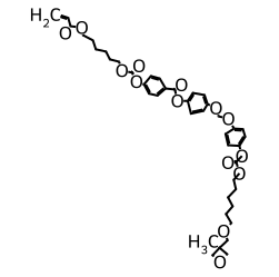 C=CC(=O)OCCCCCCOC(=O)Oc1ccc(C(=O)Oc2ccc(OCOc3ccc(OC(=O)OCCCCCCOCC4(C)COC4)cc3)cc2)cc1